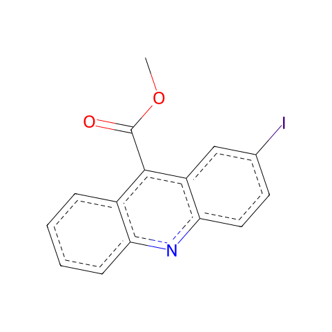 COC(=O)c1c2ccccc2nc2ccc(I)cc12